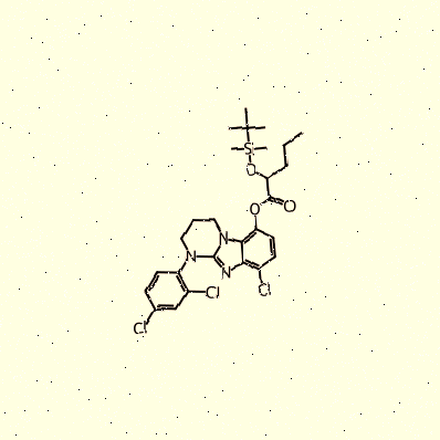 CCCC(O[Si](C)(C)C(C)(C)C)C(=O)Oc1ccc(Cl)c2nc3n(c12)CCCN3c1ccc(Cl)cc1Cl